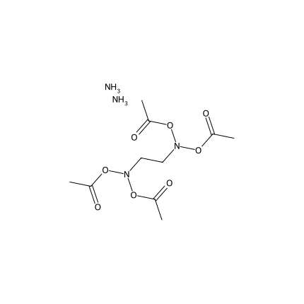 CC(=O)ON(CCN(OC(C)=O)OC(C)=O)OC(C)=O.N.N